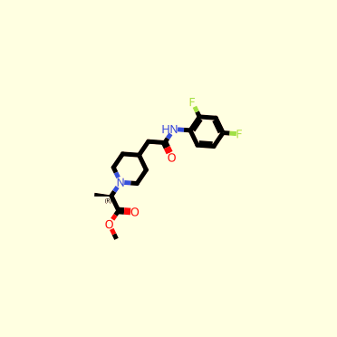 COC(=O)[C@@H](C)N1CCC(CC(=O)Nc2ccc(F)cc2F)CC1